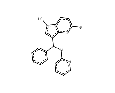 Cn1cc(C(Nc2ccccn2)c2ccncc2)c2cc(Br)ccc21